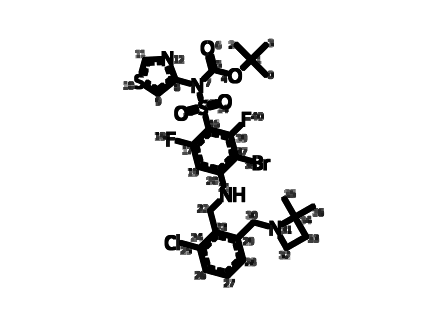 CC(C)(C)OC(=O)N(c1cscn1)S(=O)(=O)c1c(F)cc(NCc2c(Cl)cccc2CN2CCC2(C)C)c(Br)c1F